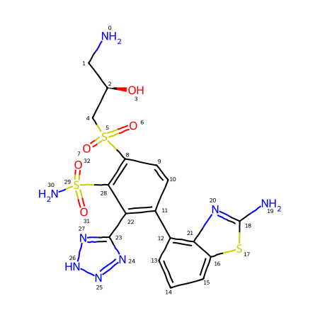 NC[C@@H](O)CS(=O)(=O)c1ccc(-c2cccc3sc(N)nc23)c(-c2nn[nH]n2)c1S(N)(=O)=O